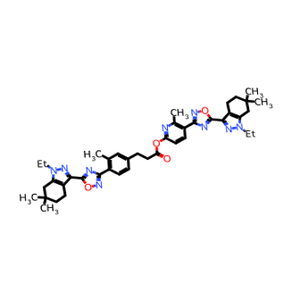 CCn1nc(-c2nc(-c3ccc(CCC(=O)Oc4ccc(-c5noc(-c6nn(CC)c7c6CCC(C)(C)C7)n5)c(C)n4)cc3C)no2)c2c1CC(C)(C)CC2